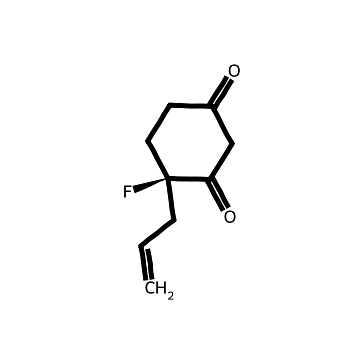 C=CC[C@]1(F)CCC(=O)CC1=O